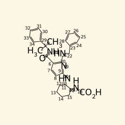 CC(C)(NC(=O)c1ccc(N[C@H]2CCCC[C@H]2NC(=O)O)nc1NCc1ccccc1)c1ccccc1